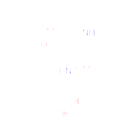 COC(=O)c1cc(N)cc(C(=O)NCCC(O)CO)c1